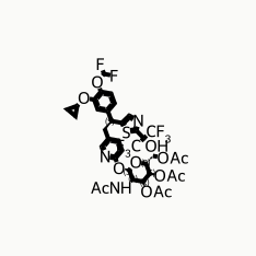 CC(=O)N[C@H]1[C@H](Oc2ccc(C[C@@H](c3ccc(OC(F)F)c(OC4CC4)c3)c3cnc(C(O)(C(F)(F)F)C(F)(F)F)s3)cn2)O[C@H](COC(C)=O)[C@@H](OC(C)=O)[C@@H]1OC(C)=O